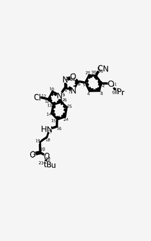 CC(C)Oc1ccc(-c2nc(-n3cc(Cl)c4cc(CNCCC(=O)OC(C)(C)C)ccc43)no2)cc1C#N